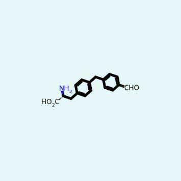 N[C@H](Cc1ccc(Cc2ccc(C=O)cc2)cc1)C(=O)O